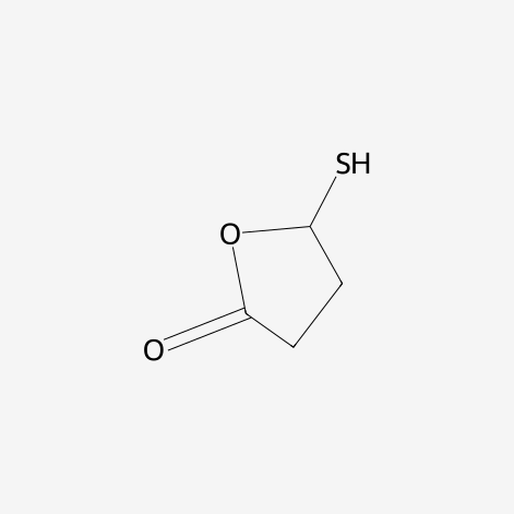 O=C1CCC(S)O1